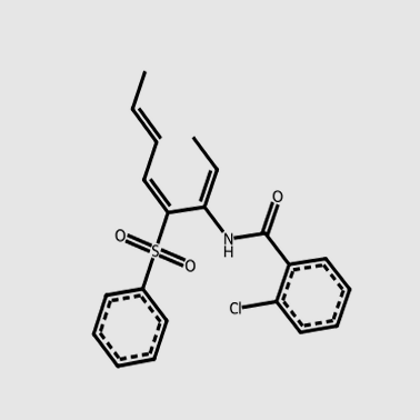 C/C=C/C=C(\C(=C/C)NC(=O)c1ccccc1Cl)S(=O)(=O)c1ccccc1